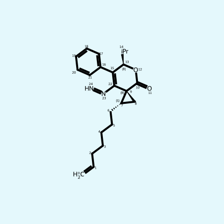 C=CCCCCC[C@H]1C[C@@]12C(=O)O[C@H](C(C)C)C(c1ccccc1)=C2N=N